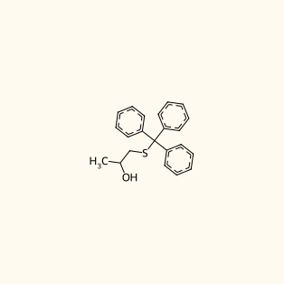 CC(O)CSC(c1ccccc1)(c1ccccc1)c1ccccc1